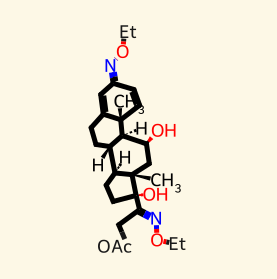 CCON=C1C=C[C@@]2(C)C(=C1)CC[C@@H]1[C@@H]2[C@@H](O)C[C@@]2(C)[C@H]1CC[C@]2(O)/C(COC(C)=O)=N/OCC